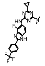 CN(C)c1nc(Nc2ccc3[nH]c(-c4ccc(C(F)(F)F)cc4)nc3c2F)nc(C2CC2)n1